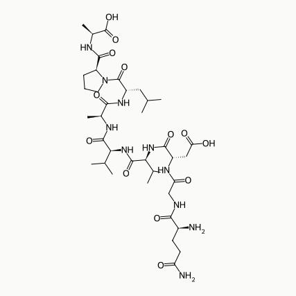 CC(C)C[C@H](NC(=O)[C@H](C)NC(=O)[C@@H](NC(=O)[C@@H](NC(=O)[C@H](CC(=O)O)NC(=O)CNC(=O)[C@@H](N)CCC(N)=O)C(C)C)C(C)C)C(=O)N1CCC[C@H]1C(=O)N[C@@H](C)C(=O)O